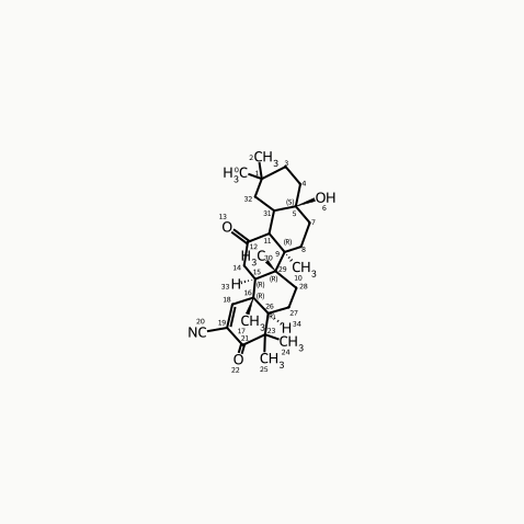 CC1(C)CC[C@]2(O)CC[C@]3(C)C(C(=O)C[C@@H]4[C@@]5(C)C=C(C#N)C(=O)C(C)(C)[C@@H]5CC[C@]43C)C2C1